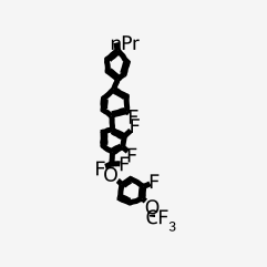 CCCc1ccc(-c2ccc(-c3ccc(C(F)(F)Oc4ccc(OC(F)(F)F)c(F)c4)c(F)c3F)c(F)c2)cc1